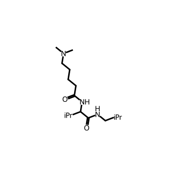 CC(C)CNC(=O)C(NC(=O)CCCCN(C)C)C(C)C